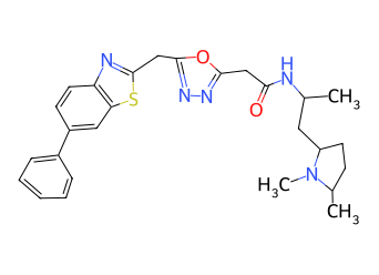 CC(CC1CCC(C)N1C)NC(=O)Cc1nnc(Cc2nc3ccc(-c4ccccc4)cc3s2)o1